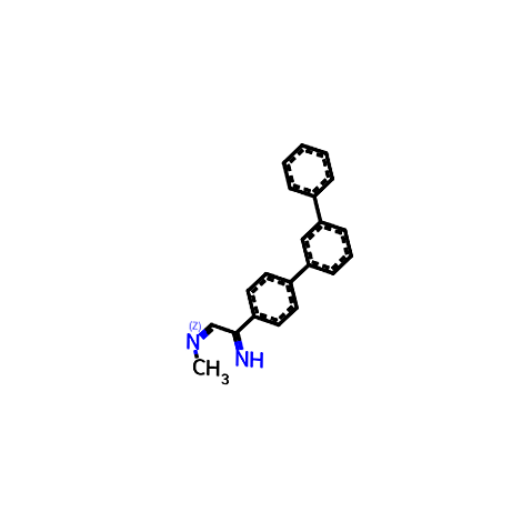 C/N=C\C(=N)c1ccc(-c2cccc(-c3ccccc3)c2)cc1